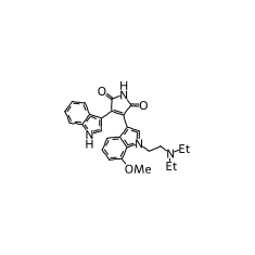 CCN(CC)CCn1cc(C2=C(c3c[nH]c4ccccc34)C(=O)NC2=O)c2cccc(OC)c21